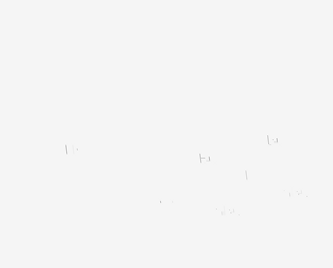 CCCC[P+](CCCC)(CCCC)CCCC.Cc1ccc(C(=O)[O-])c(O)c1